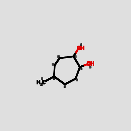 CC1CCC(O)C(O)CC1